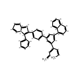 C=C/C=C(\C=C/C)c1cc(-c2ccc(-c3nc4ccccn4c3-c3ccccc3)cc2)cc(-c2cccc3ccccc23)c1